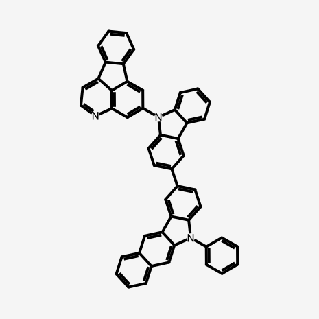 c1ccc(-n2c3ccc(-c4ccc5c(c4)c4ccccc4n5-c4cc5c6c(ccnc6c4)-c4ccccc4-5)cc3c3cc4ccccc4cc32)cc1